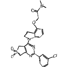 CN(C)C(=O)COc1cccc2c1CCN2c1nc(-c2cccc(Cl)c2)nc2c1CS(=O)(=O)C2